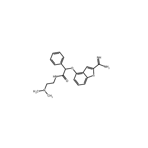 CN(C)CCNC(=O)C(Oc1cccc2sc(C(=N)N)cc12)c1ccccc1